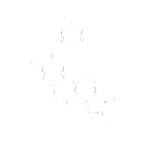 CCN1Cc2c(ccnc2NC(C)c2ccc(Cc3ccccc3)c(F)c2)C1=O